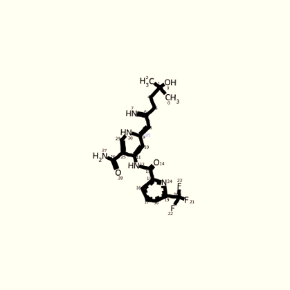 CC(C)(O)CCC(=N)/C=C1/C=C(NC(=O)c2cccc(C(F)(F)F)n2)C(C(N)=O)=CN1